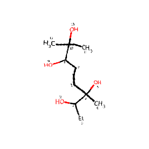 CCC(O)C(C)(O)CCC(O)C(C)(C)O